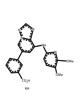 COc1ccc(Nc2cc(-c3cccc(C(=O)O)c3)cn3ncnc23)nc1OC.[KH]